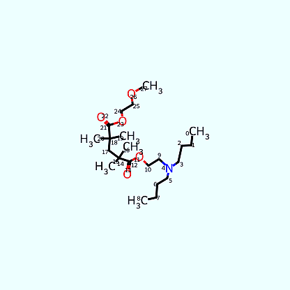 CCCCN(CCCC)CCOC(=O)C(C)(C)CC(C)(C)C(=O)OCCOC